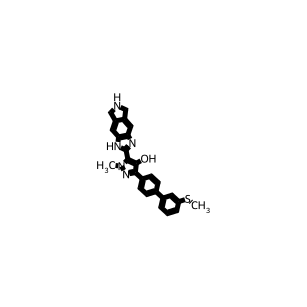 CSc1cccc(-c2ccc(-c3nn(C)c(-c4nc5cc6c(cc5[nH]4)CNC6)c3O)cc2)c1